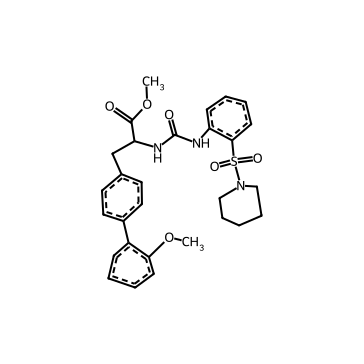 COC(=O)C(Cc1ccc(-c2ccccc2OC)cc1)NC(=O)Nc1ccccc1S(=O)(=O)N1CCCCC1